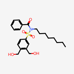 CCCCCCCCN(C(=O)c1ccccc1)S(=O)(=O)c1ccc(CO)c(CO)c1